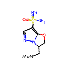 CNCC1COc2c(S(=N)(N)=O)cnn21